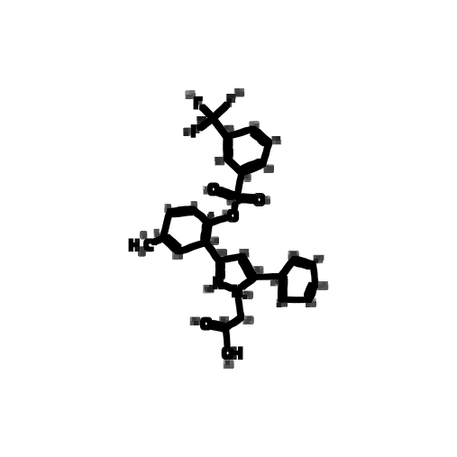 Cc1ccc(OS(=O)(=O)c2cccc(C(F)(F)F)c2)c(-c2cc(-c3ccccc3)n(CC(=O)O)n2)c1